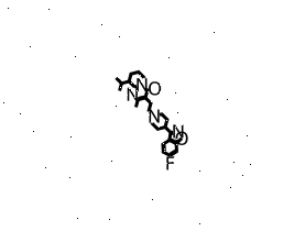 Cc1nc2n(c(=O)c1CCN1CCC(c3noc4cc(F)ccc34)CC1)CCCC2C(C)C